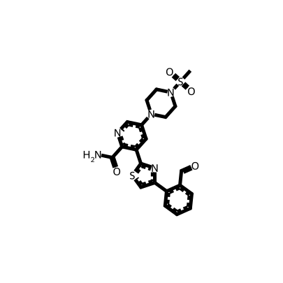 CS(=O)(=O)N1CCN(c2cnc(C(N)=O)c(-c3nc(-c4ccccc4C=O)cs3)c2)CC1